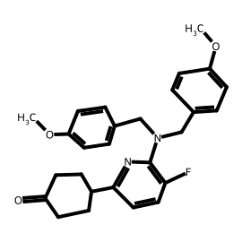 COc1ccc(CN(Cc2ccc(OC)cc2)c2nc(C3CCC(=O)CC3)ccc2F)cc1